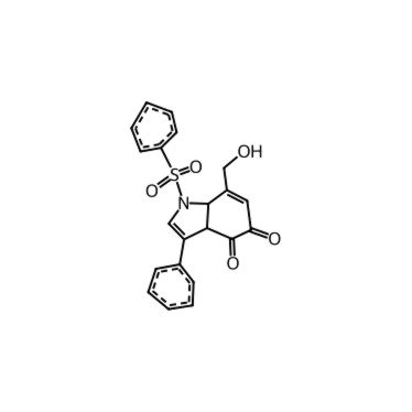 O=C1C=C(CO)C2C(C1=O)C(c1ccccc1)=CN2S(=O)(=O)c1ccccc1